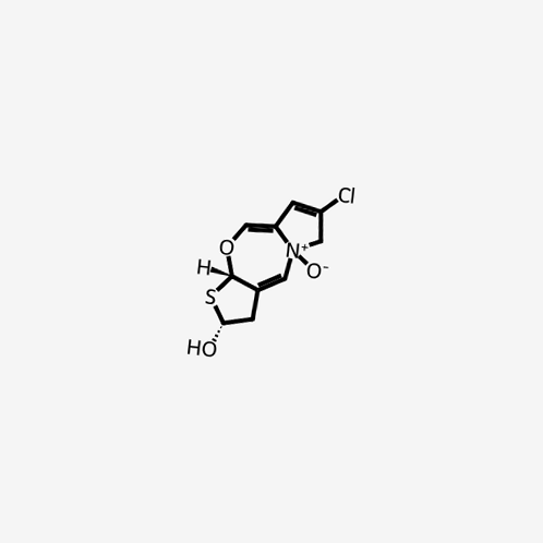 [O-][N+]12C=C3C[C@H](O)S[C@@H]3OC=C1C=C(Cl)C2